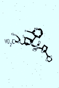 CC(C)(C)CN(Cc1cn(S(=O)(=O)c2ccc(C3OCCO3)o2)c(-c2cccnc2F)c1F)C(=O)O